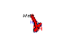 C/C=C1\C[C@H]2C=Nc3cc(OCc4cc(OCCN(C)CC(C)(C)SCC(=O)NCCOCCOCCOCCOCCC(=O)NC)cc(COc5cc6c(cc5CO)C(=O)N5C/C(=C/C)C[C@H]5C=N6)n4)c(CO)cc3C(=O)N2C1